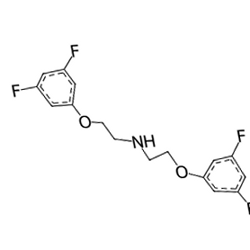 Fc1cc(F)cc(OCCNCCOc2cc(F)cc(F)c2)c1